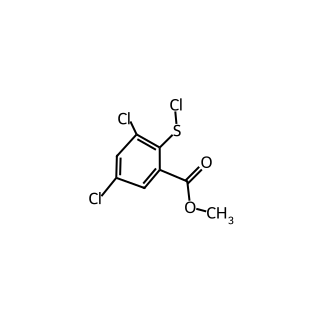 COC(=O)c1cc(Cl)cc(Cl)c1SCl